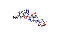 C[C@H](NC(=O)c1ncc2nc(N3CCOCC3)ccc2c1O)c1ccc(C#N)cc1